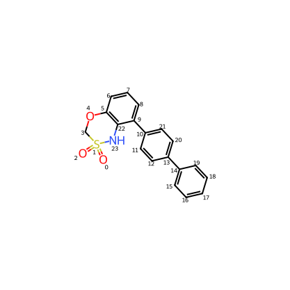 O=S1(=O)COc2cccc(-c3ccc(-c4ccccc4)cc3)c2N1